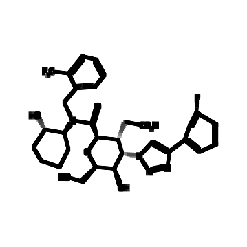 O=C(O)C[C@@H]1[C@H](n2cc(-c3cccc(F)c3)nn2)[C@@H](O)[C@@H](CO)O[C@H]1C(=O)N(Cc1ccccc1C(F)(F)F)[C@H]1CCCC[C@@H]1O